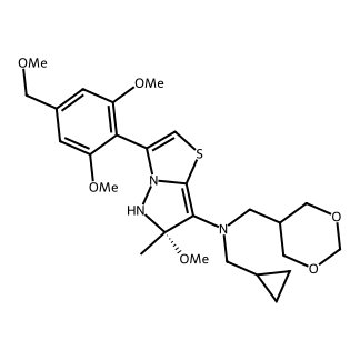 COCc1cc(OC)c(C2=CSC3=C(N(CC4CC4)CC4COCOC4)[C@](C)(OC)NN23)c(OC)c1